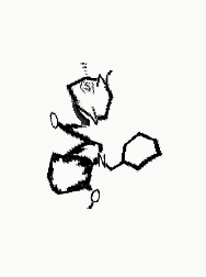 COc1cccc2c(C(=O)N3CCN(C)[C@@H](C)C3)cn(CC3CCCCC3)c12